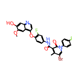 COc1cc2c(Oc3ccc(NC(=O)c4c(C)c(Br)cn(-c5ccc(F)cc5)c4=O)cc3F)ccnc2cc1O